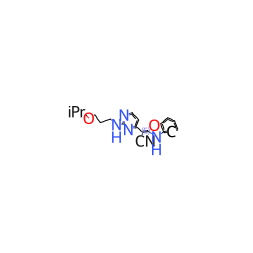 CC(C)OCCCNc1nccc(/C(C#N)=C2/Nc3ccccc3O2)n1